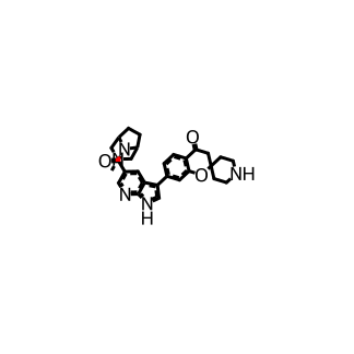 CN1CC2CCC(C1)N2C(=O)c1cnc2[nH]cc(-c3ccc4c(c3)OC3(CCNCC3)CC4=O)c2c1